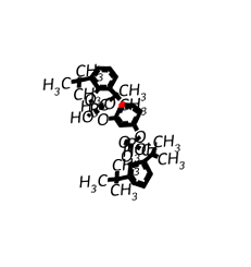 CC(C)(C)c1cccc(C(C)(C)C)c1OP(=O)(O)Oc1cccc(OP(=O)(O)Oc2c(C(C)(C)C)cccc2C(C)(C)C)c1